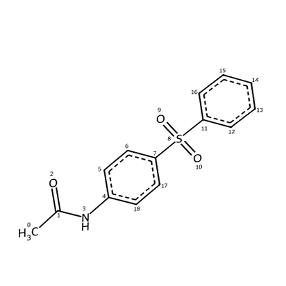 CC(=O)Nc1ccc(S(=O)(=O)c2ccccc2)cc1